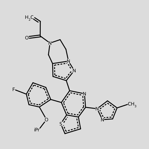 C=CC(=O)N1CCn2nc(-c3nc(-n4cc(C)cn4)c4ccsc4c3-c3ccc(F)cc3OC(C)C)cc2C1